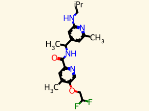 Cc1cc(C(C)NC(=O)c2cc(C)c(OCC(F)F)cn2)cc(NCC(C)C)n1